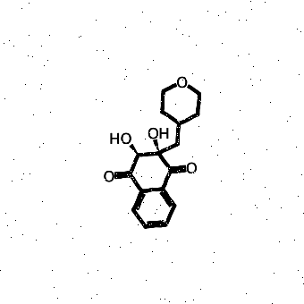 O=C1c2ccccc2C(=O)[C@@](O)(CC2CCOCC2)[C@@H]1O